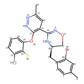 Cc1ccc(C[C@@H]2CON=C(c3cc(C)nnc3Oc3cccc(Cl)c3F)N2)c(Br)c1